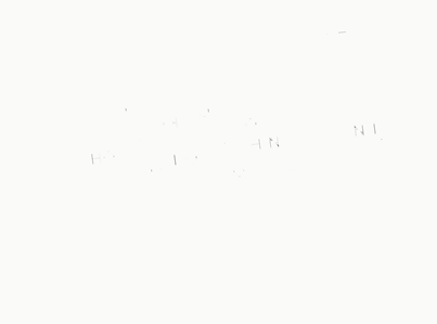 CCCC[C@@]1(N)CCCC[C@@H]1N.O=S(=O)(O)O.O=S(=O)(O)O